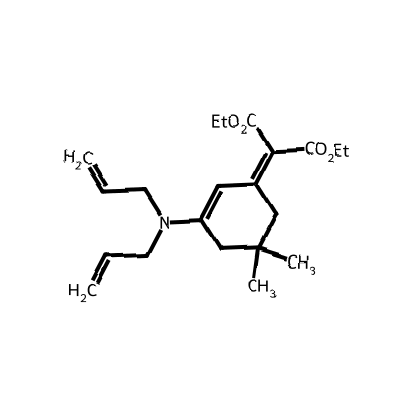 C=CCN(CC=C)C1=CC(=C(C(=O)OCC)C(=O)OCC)CC(C)(C)C1